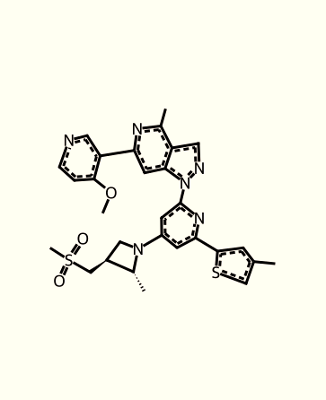 COc1ccncc1-c1cc2c(cnn2-c2cc(N3C[C@H](CS(C)(=O)=O)[C@H]3C)cc(-c3cc(C)cs3)n2)c(C)n1